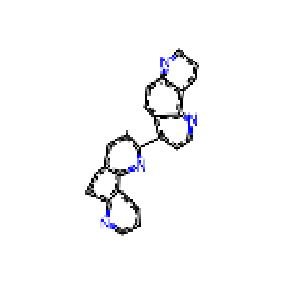 [c]1cc2ccc3ncccc3c2nc1-c1ccnc2c1ccc1ncccc12